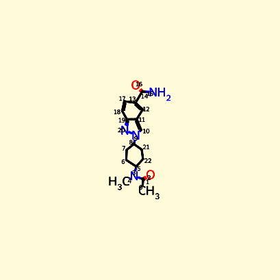 CC(=O)N(C)C1CCC(n2cc3cc(C(N)=O)ccc3n2)CC1